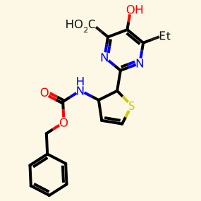 CCc1nc(C2SC=CC2NC(=O)OCc2ccccc2)nc(C(=O)O)c1O